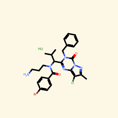 Cc1nn2c(=O)n(Cc3ccccc3)c(C(C(C)C)N(CCCN)C(=O)c3ccc(Br)cc3)nc2c1Cl.Cl